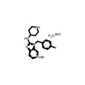 Br.Br.Fc1ccc(Cn2c(NC3CCNCC3)nc3ccncc32)cc1.O